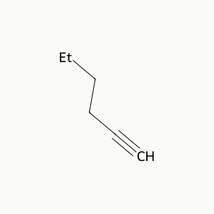 C#CCCC[CH2]